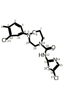 Cc1ccc(N2CCCN(C(=O)Nc3ncc(Cl)s3)CC2)cc1Cl